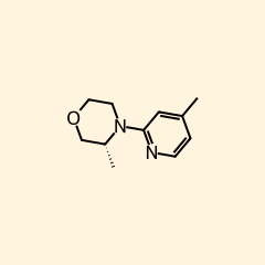 Cc1ccnc(N2CCOC[C@H]2C)c1